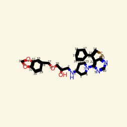 OC(CNC1CCN(c2ncnc3scc(-c4ccccc4)c23)CC1)COCc1ccc2c(c1)OCO2